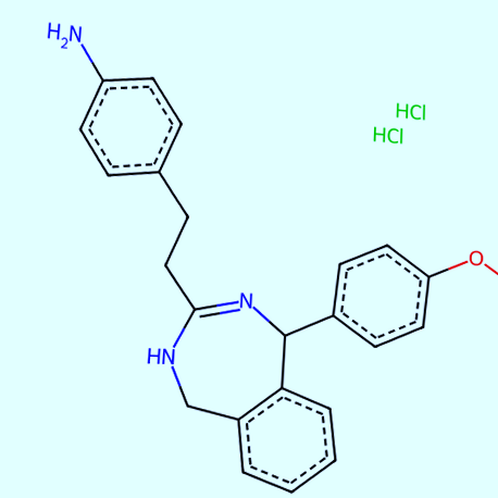 COc1ccc(C2N=C(CCc3ccc(N)cc3)NCc3ccccc32)cc1.Cl.Cl